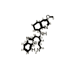 COc1cnc2c(c1)CCCC2NC(CCCN)Cc1nc2ccccc2[nH]1